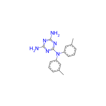 Cc1cccc(N(c2cccc(C)c2)c2nc(N)nc(N)n2)c1